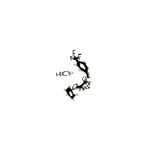 Cl.FC(F)(F)c1ccc(COc2nsnc2OC23CCC(CC2)C3)cc1